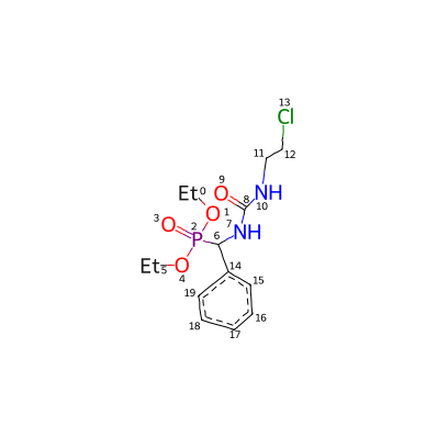 CCOP(=O)(OCC)C(NC(=O)NCCCl)c1ccccc1